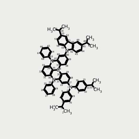 CC(C)c1ccc(N(c2ccc(C(C)C)cc2)c2ccc3c(c2)N(c2ccccc2)c2cccc4c2B3c2ccc(-n3c5ccc(C(C)C)cc5c5cc(C(C)C)ccc53)cc2N4c2ccccc2)cc1